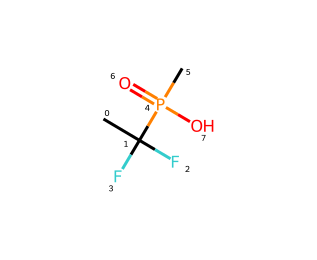 CC(F)(F)P(C)(=O)O